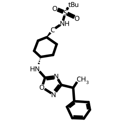 CC(c1ccccc1)c1noc(N[C@H]2CC[C@H](CNS(=O)(=O)C(C)(C)C)CC2)n1